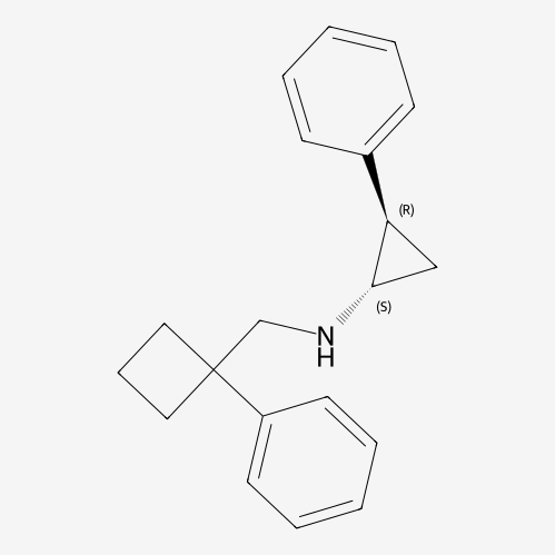 c1ccc([C@H]2C[C@@H]2NCC2(c3ccccc3)CCC2)cc1